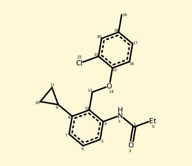 CCC(=O)Nc1cccc(C2CC2)c1COc1ccc(C)cc1Cl